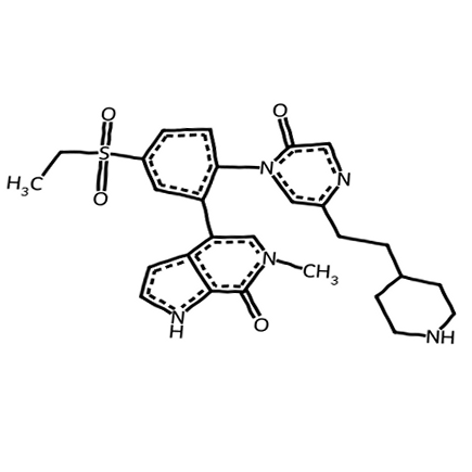 CCS(=O)(=O)c1ccc(-n2cc(CCC3CCNCC3)ncc2=O)c(-c2cn(C)c(=O)c3[nH]ccc23)c1